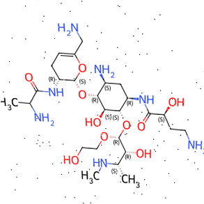 CN[C@@H](C)[C@@H](O)[C@H](OCCO)O[C@@H]1[C@@H](O)[C@H](O[C@H]2OC(CN)=CC[C@H]2NC(=O)C(C)N)[C@@H](N)C[C@H]1NC(=O)[C@@H](O)CCN